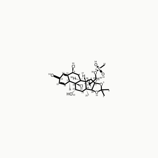 CC1(C)O[C@@H]2C[C@H]3[C@@H]4C[C@H](Cl)C5=CC(=O)C=C[C@]5(C)[C@@]4(Cl)[C@@H](O)C[C@]3(C)[C@]2(C(=O)COS(C)(=O)=O)O1